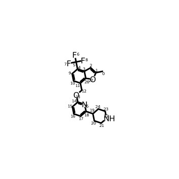 Cc1cc2c(C(F)(F)F)ccc(COc3cccc(C4CCNCC4)n3)c2o1